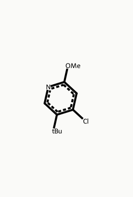 COc1cc(Cl)c(C(C)(C)C)cn1